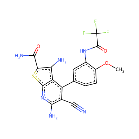 COc1ccc(-c2c(C#N)c(N)nc3sc(C(N)=O)c(N)c23)cc1NC(=O)C(F)(F)F